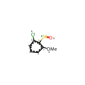 COc1cccc(Cl)c1[S+]=O